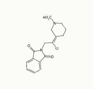 O=C(O)N1CCCC(=C(Cl)CN2C(=O)c3ccccc3C2=O)C1